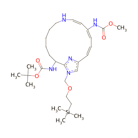 COC(=O)NC1=CC=Cc2cn(COCC[Si](C)(C)C)c(n2)C(NC(=O)OC(C)(C)C)CCCCCNC=C1